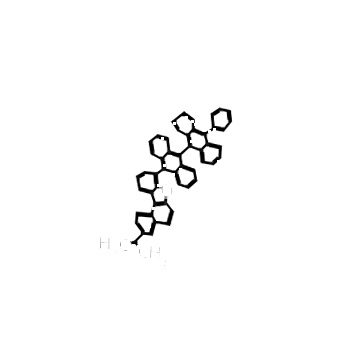 CC(C)c1ccc2c(ccc3oc4c(-c5c6ccccc6c(-c6c7ccccc7c(-c7ccccc7)c7ccccc67)c6ccccc56)cccc4c32)c1